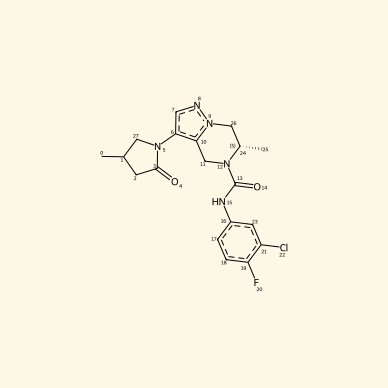 CC1CC(=O)N(c2cnn3c2CN(C(=O)Nc2ccc(F)c(Cl)c2)[C@@H](C)C3)C1